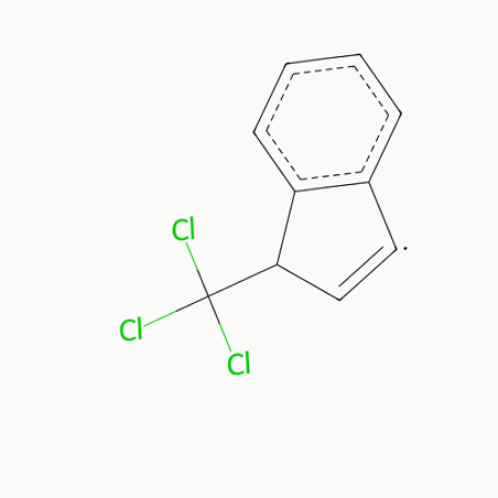 ClC(Cl)(Cl)C1C=[C]c2ccccc21